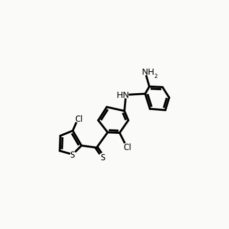 Nc1ccccc1Nc1ccc(C(=S)c2sccc2Cl)c(Cl)c1